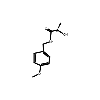 COc1ccc(CNC(=O)[C@@H](C)O)cc1